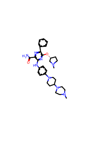 CN1CCN(C2CCN(c3ccc(Nc4nc(O[C@@H]5CCN(C)C5)c(-c5ccccc5)nc4C(N)=O)cc3)CC2)CC1